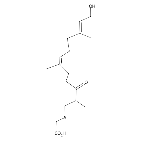 C/C(=C/CC/C(C)=C/CO)CCC(=O)C(C)CSCC(=O)O